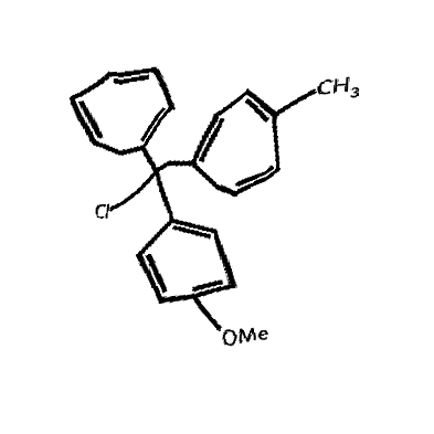 COc1ccc(C(Cl)(c2ccccc2)c2ccc(C)cc2)cc1